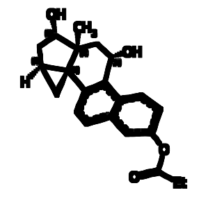 CCC(=O)Oc1ccc2c3c(ccc2c1)[C@]12C[C@H]1C[C@H](O)[C@@]2(C)C[C@@H]3O